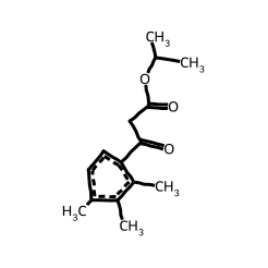 Cc1ccc(C(=O)CC(=O)OC(C)C)c(C)c1C